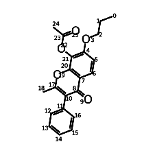 CCCOc1ccc2c(=O)c(-c3ccccc3)c(C)oc2c1OC(C)=O